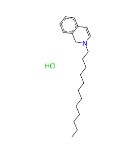 CCCCCCCCCCCCN1C=Cc2ccccc2C1.Cl